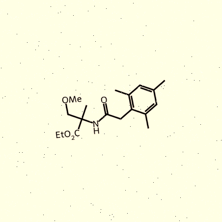 CCOC(=O)C(C)(COC)NC(=O)Cc1c(C)cc(C)cc1C